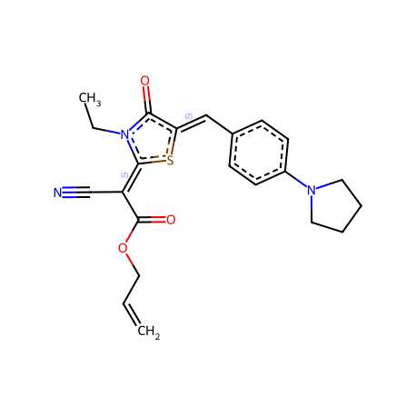 C=CCOC(=O)/C(C#N)=c1\s/c(=C\c2ccc(N3CCCC3)cc2)c(=O)n1CC